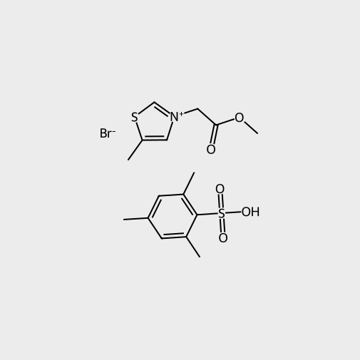 COC(=O)C[n+]1csc(C)c1.Cc1cc(C)c(S(=O)(=O)O)c(C)c1.[Br-]